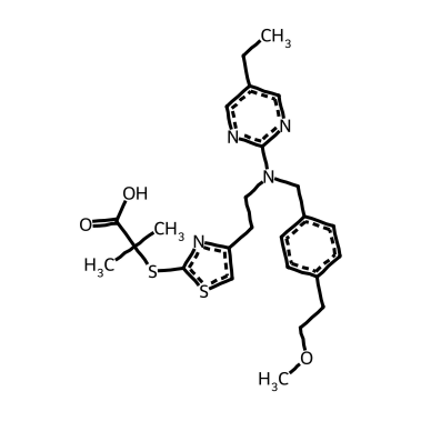 CCc1cnc(N(CCc2csc(SC(C)(C)C(=O)O)n2)Cc2ccc(CCOC)cc2)nc1